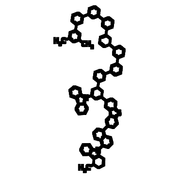 Cc1cc(C)cc(-c2cccc(-c3cccc(-c4cccc(C5=CC=CC(c6cccc(-c7cccc(-c8cccc(C9C=C(n%10c%11ccccc%11c%11ccccc%11%10)C=C(c%10ccc%11sc%12ccc(-c%13cccc%14c(-n%15c%16c(c%17ccccc%17%15)C(C)CC=C%16)cccc%13%14)cc%12c%11c%10)C9)c8)c7)c6)C5)c4)c3)c2)c1